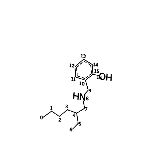 CCCCC(CC)CNCc1ccccc1O